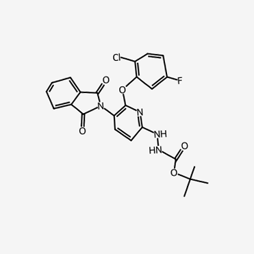 CC(C)(C)OC(=O)NNc1ccc(N2C(=O)c3ccccc3C2=O)c(Oc2cc(F)ccc2Cl)n1